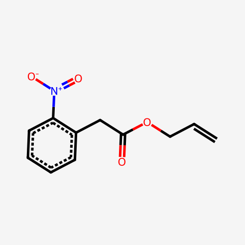 C=CCOC(=O)Cc1ccccc1[N+](=O)[O-]